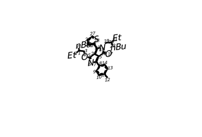 CCCCC(CC)COC1=NC(c2ccc(C)cc2)=C2C(=O)N(CC(CC)CCCC)C(c3cccs3)=C12